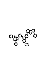 N#Cc1ccc2c(c1)c1ccc(-c3cccc4c3oc3c(-c5ccccc5)cccc34)cc1n2-c1cccc(-c2nc(-c3ccccc3)nc(-c3ccccc3)n2)c1